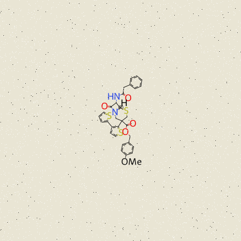 COc1ccc(COC(=O)C2(c3sccc3-c3cccs3)CS[C@@H]3C(NC(=O)Cc4ccccc4)C(=O)N3C2)cc1